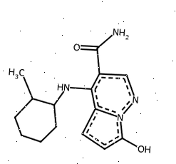 CC1CCCCC1Nc1c(C(N)=O)cnn2c(O)ccc12